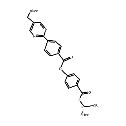 CCCCCCCCCCCc1cnc(-c2ccc(C(=O)Oc3ccc(C(=O)O[C@@H](CCCCCC)C(F)(F)F)cc3)cc2)nc1